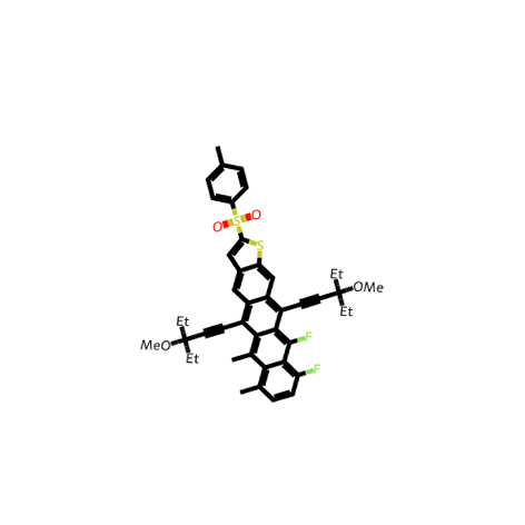 CCC(C#Cc1c2cc3cc(S(=O)(=O)c4ccc(C)cc4)sc3cc2c(C#CC(CC)(CC)OC)c2c(F)c3c(F)ccc(C)c3c(C)c12)(CC)OC